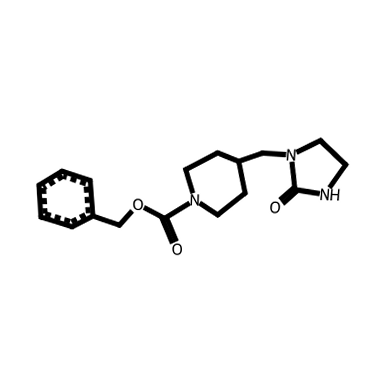 O=C1NCCN1CC1CCN(C(=O)OCc2ccccc2)CC1